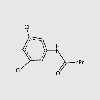 CCCC(=O)Nc1cc(Cl)cc(Cl)c1